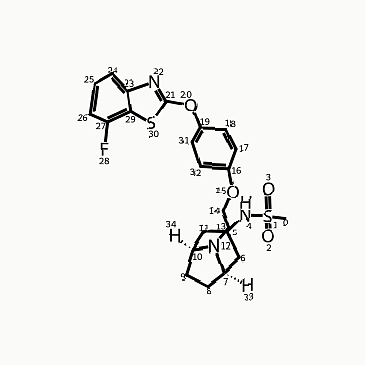 CS(=O)(=O)NC1C[C@H]2CC[C@@H](C1)N2CCOc1ccc(Oc2nc3cccc(F)c3s2)cc1